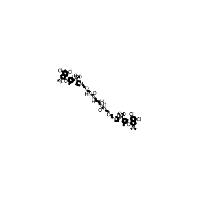 Cc1cc(N([C@H]2CCN(CCOCCNC(=O)NCCCCNC(=O)NCCOCCN3CC[C@H](N(c4ccc(O[C@H]5c6cc(Cl)cc(Cl)c6C[C@@H]5N(C)C)c(C)c4)[SH](=O)=O)C3)C2)[SH](=O)=O)ccc1O[C@H]1c2cc(Cl)cc(Cl)c2C[C@@H]1N(C)C